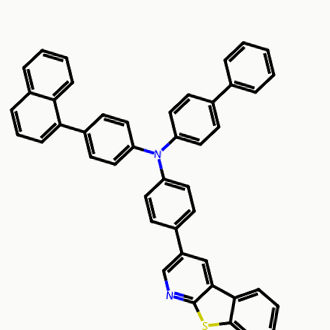 c1ccc(-c2ccc(N(c3ccc(-c4cnc5sc6ccccc6c5c4)cc3)c3ccc(-c4cccc5ccccc45)cc3)cc2)cc1